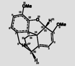 COC1=CC=C2[C@@H]3Cc4ccc(OC)c5c4C2(CCN3)[C@@H]1O5